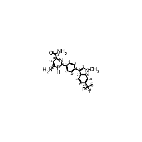 Cn1cc(-c2ccc(C3N=C(C(N)=O)C=C(N)P3)cc2)c2ccc(C(F)(F)F)cc21